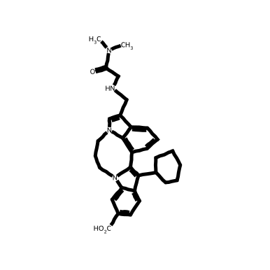 CN(C)C(=O)CNCc1cn2c3c(cccc13)-c1c(C3CCCCC3)c3ccc(C(=O)O)cc3n1CCC2